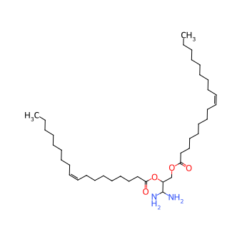 CCCCCCCC/C=C\CCCCCCCC(=O)OCC(OC(=O)CCCCCCC/C=C\CCCCCCCC)C(N)N